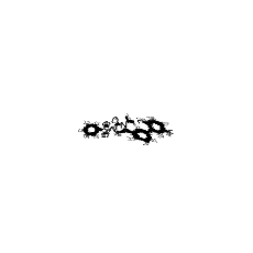 CC(C)N1C(=O)N(S(=O)(=O)c2ccccc2)CC1c1cccc(-c2cc(F)ccc2F)c1